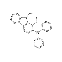 CCc1c(N(c2ccccc2)c2ccccc2)ccc2c1C(CC)c1ccccc1-2